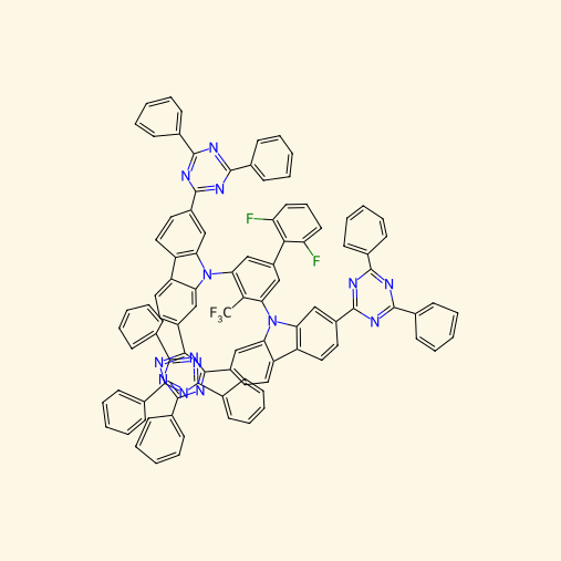 Fc1cccc(F)c1-c1cc(-n2c3cc(-c4nc(-c5ccccc5)nc(-c5ccccc5)n4)ccc3c3ccc(-c4nc(-c5ccccc5)nc(-c5ccccc5)n4)cc32)c(C(F)(F)F)c(-n2c3cc(-c4nc(-c5ccccc5)nc(-c5ccccc5)n4)ccc3c3ccc(-c4nc(-c5ccccc5)nc(-c5ccccc5)n4)cc32)c1